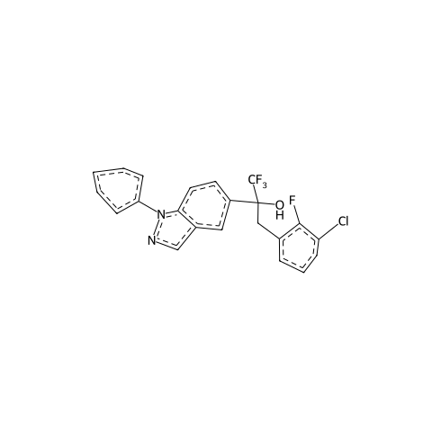 OC(Cc1cccc(Cl)c1F)(c1ccc2c(cnn2-c2ccccc2)c1)C(F)(F)F